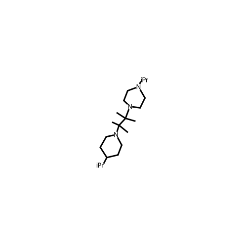 CC(C)C1CCN(C(C)(C)C(C)(C)N2CCN(C(C)C)CC2)CC1